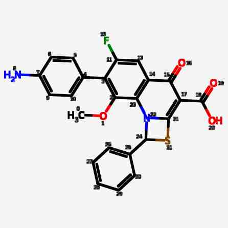 COc1c(-c2ccc(N)cc2)c(F)cc2c(=O)c(C(=O)O)c3n(c12)C(c1ccccc1)S3